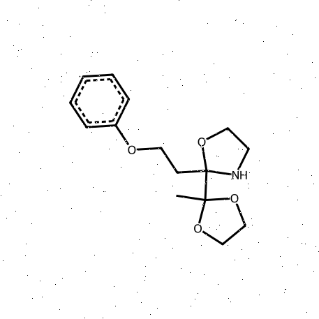 CC1(C2(CCOc3cc[c]cc3)NCCO2)OCCO1